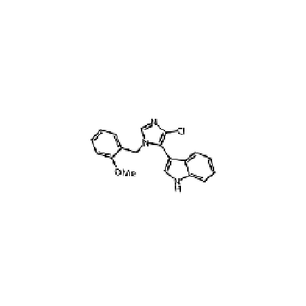 COc1ccccc1Cn1cnc(Cl)c1-c1c[nH]c2ccccc12